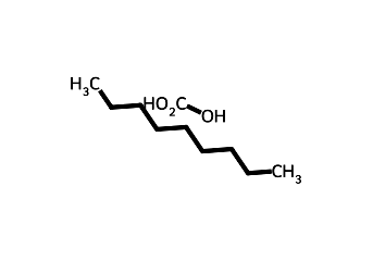 CCCCCCCCC.O=C(O)O